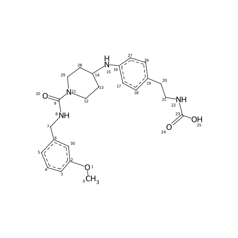 COc1cccc(CNC(=O)N2CCC(Nc3ccc(CCNC(=O)O)cc3)CC2)c1